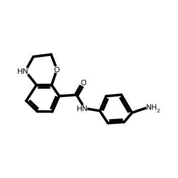 Nc1ccc(NC(=O)c2cccc3c2OCCN3)cc1